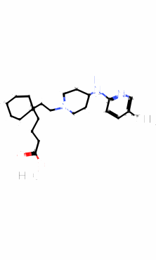 COC(=O)CCCC1(CCN2CCC(Nc3ccc(C)cn3)CC2)CCCCC1